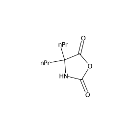 CCCC1(CCC)NC(=O)OC1=O